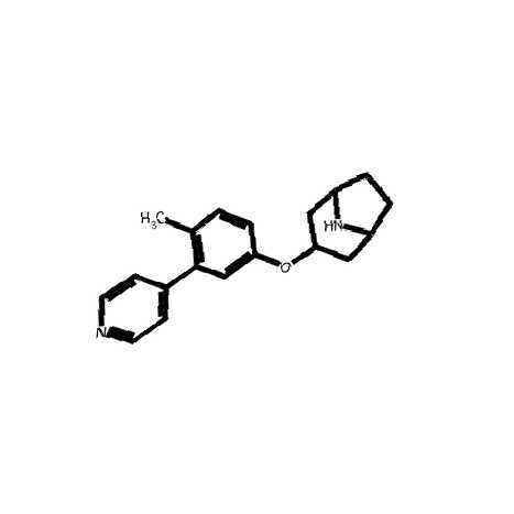 Cc1ccc(OC2CC3CCC(C2)N3)cc1-c1ccncc1